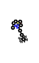 [2H]c1c([2H])c(-c2ccc(-c3ccc(-c4nc(-n5c6ccccc6c6ccc7ccc8c9ccccc9sc8c7c65)nc5ccccc45)cc3)cc2)c([2H])c([2H])c1C